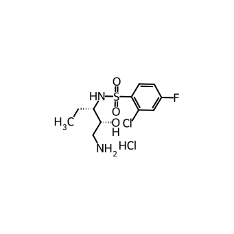 CC[C@H](NS(=O)(=O)c1ccc(F)cc1Cl)[C@H](O)CN.Cl